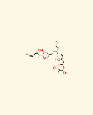 C=C/C=C\[C@H](C)[C@H](O)[C@@H](C)[C@H](O)[C@@H](C)C/C(C)=C\[C@H](C)[C@@H](OCOC)[C@@H](C)/C=C\[C@@H](O)C[C@@H]1OC(=O)[C@H](C)[C@@H](O)[C@H]1C